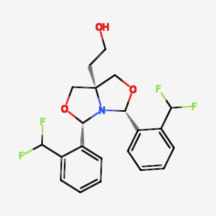 OCC[C@]12CO[C@H](c3ccccc3C(F)F)N1[C@H](c1ccccc1C(F)F)OC2